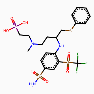 CN(CCC(CSc1ccccc1)Nc1ccc(S(N)(=O)=O)cc1S(=O)(=O)C(F)(F)F)CCP(=O)(O)O